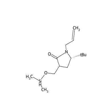 C=CCN1C(=O)C(CO[SiH](C)C)C[C@H]1C(C)(C)C